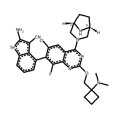 CN(C)C1(COc2nc(N3C[C@H]4CC[C@@H](C3)N4)c3cc(Cl)c(-c4cccc5[se]c(N)c(C#N)c45)c(F)c3n2)CCC1